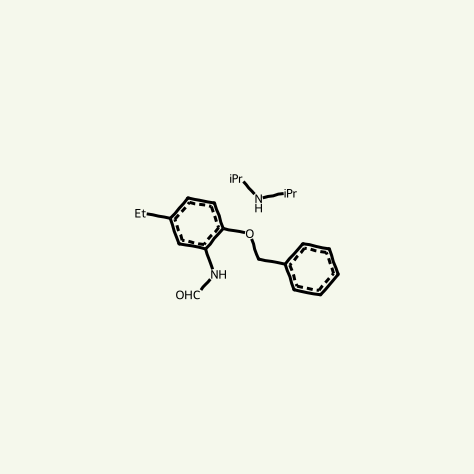 CC(C)NC(C)C.CCc1ccc(OCc2ccccc2)c(NC=O)c1